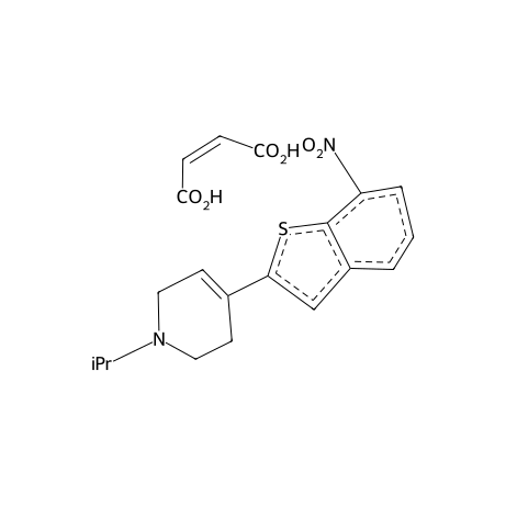 CC(C)N1CC=C(c2cc3cccc([N+](=O)[O-])c3s2)CC1.O=C(O)/C=C\C(=O)O